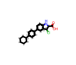 O=C(O)C1Nc2ccc(-c3ccc(C4CCCCC4)cc3)cc2C1Cl